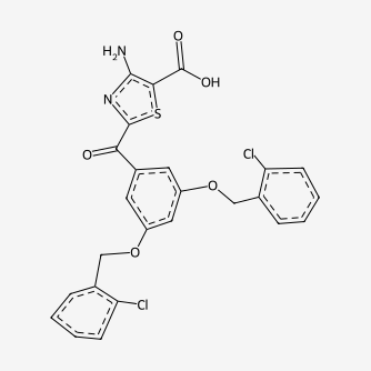 Nc1nc(C(=O)c2cc(OCc3ccccc3Cl)cc(OCc3ccccc3Cl)c2)sc1C(=O)O